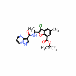 Cc1cc(C(=O)O[C@H](C)C(F)(F)F)c2oc(C(C)NC(=O)c3cnn4cccnc34)c(Cl)c2c1